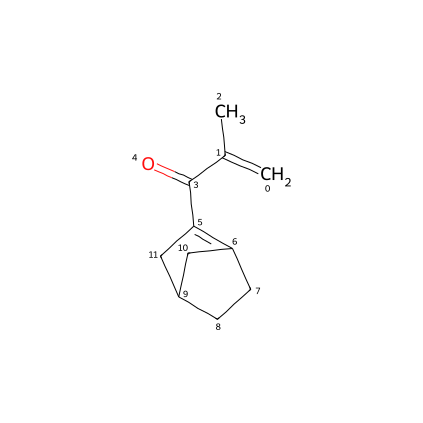 C=C(C)C(=O)C1=C2CCC(C2)C1